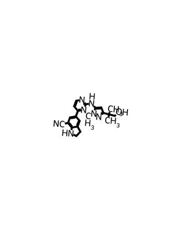 Cn1nc(C(C)(C)CO)cc1Nc1nccc(-c2cc(C#N)c3c(c2)CCN3)n1